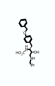 CC(C)CNC[C@H](O)[C@H](Cc1ccc(OCc2ccccc2)cc1)NC(=O)O